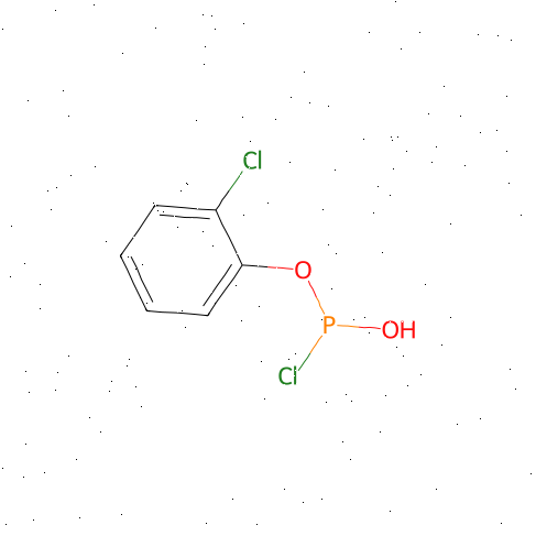 OP(Cl)Oc1ccccc1Cl